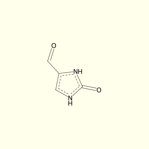 O=Cc1c[nH]c(=O)[nH]1